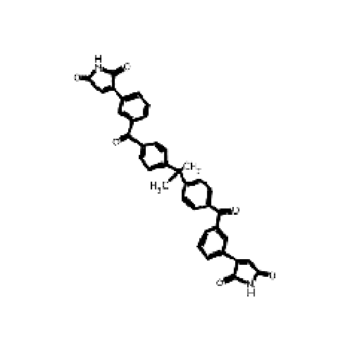 CC(C)(c1ccc(C(=O)c2cccc(C3=CC(=O)NC3=O)c2)cc1)c1ccc(C(=O)c2cccc(C3=CC(=O)NC3=O)c2)cc1